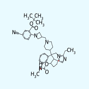 CCc1nccn1CC(c1cccc(F)c1)(C1CCN(CC2CN(c3ccc(C#N)cc3C(=O)OC(C)(C)C)C2)CC1)C1CCCC1OC(=O)NC